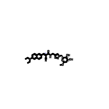 CCN(CC)c1ccc2cc(/C=C(\C#N)C(=O)NCc3cn(C[C@H]4O[C@H](OC)C[C@@H](O)[C@@H]4O)nn3)ccc2c1